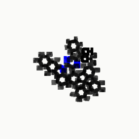 CC1(C)c2ccccc2-c2nc(-n3c4ccccc4c4cc5ccccc5cc43)c(-c3cccc4c3-c3ccccc3C4(c3ccccc3)c3ccccc3)nc21